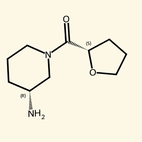 N[C@@H]1CCCN(C(=O)[C@@H]2CCCO2)C1